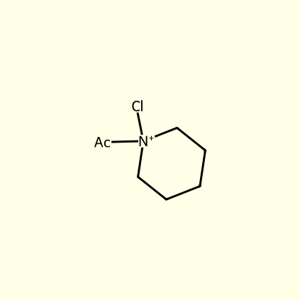 CC(=O)[N+]1(Cl)CCCCC1